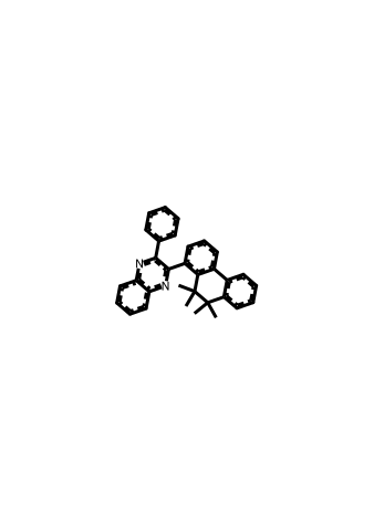 CC1(C)c2ccccc2-c2cccc(-c3nc4ccccc4nc3-c3ccccc3)c2C1(C)C